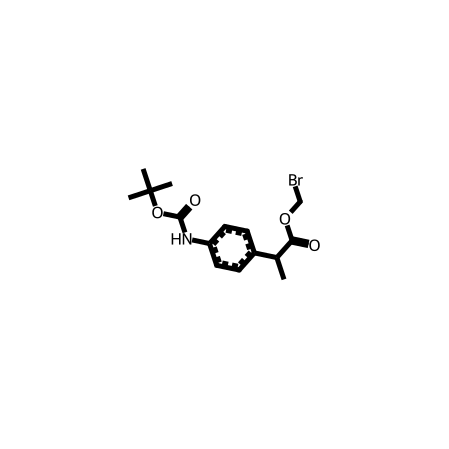 CC(C(=O)OCBr)c1ccc(NC(=O)OC(C)(C)C)cc1